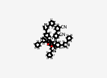 N#Cc1cc(-c2cc(-n3c4cc(-c5ccnc(-c6ccccc6)c5)ccc4c4ccc(-c5ccnc(-c6ccccc6)c5)cc43)c(-n3c4cc(-c5ccnc(-c6ccccc6)c5)ccc4c4ccc(-c5ccnc(-c6ccccc6)c5)cc43)cc2C#N)cc(C(F)(F)F)c1